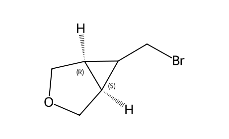 BrCC1[C@H]2COC[C@@H]12